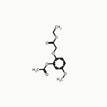 CCOC(=O)COc1ccc(OC)cc1OC(C)=O